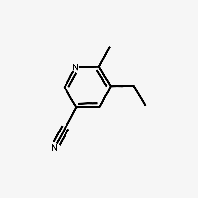 CCc1cc(C#N)cnc1C